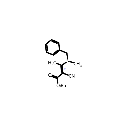 C/C(=C(/C#N)C(=O)OCC(C)C)N(C)Cc1ccccc1